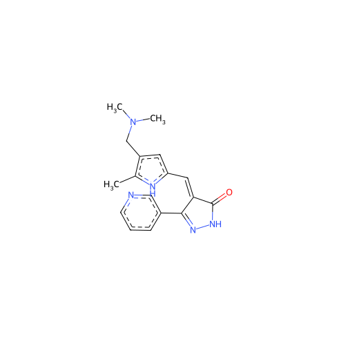 Cc1[nH]c(/C=C2/C(=O)NN=C2c2cccnc2)cc1CN(C)C